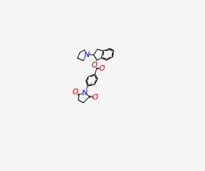 O=C(OC1c2ccccc2CC1N1CCCC1)c1ccc(N2C(=O)CCC2=O)cc1